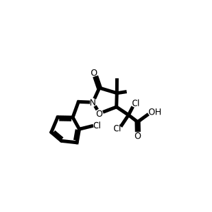 CC1(C)C(=O)N(Cc2ccccc2Cl)OC1C(Cl)(Cl)C(=O)O